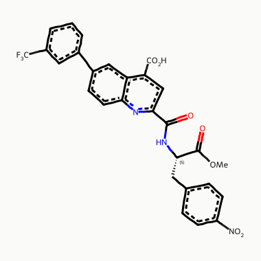 COC(=O)[C@H](Cc1ccc([N+](=O)[O-])cc1)NC(=O)c1cc(C(=O)O)c2cc(-c3cccc(C(F)(F)F)c3)ccc2n1